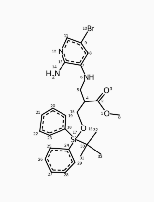 COC(=O)C(CNc1cc(Br)cnc1N)CO[Si](c1ccccc1)(c1ccccc1)C(C)(C)C